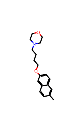 Cc1ccc2cc(OCCCCN3CCOCC3)ccc2c1